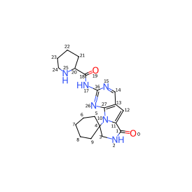 O=C1NCC2(CCCCC2)n2c1cc1cnc(NC(=O)C3CCCCN3)nc12